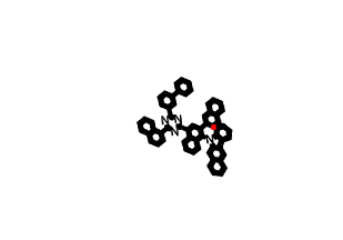 c1ccc(-c2cccc(-c3nc(-c4cccc5ccccc45)nc(-c4cc(-c5ccc6ccccc6c5)c(-n5c6ccccc6c6cc7ccccc7cc65)c5ccccc45)n3)c2)cc1